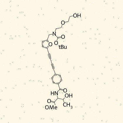 COC(=O)C(NC(=O)c1ccc(C#CC#Cc2ccc(CN(CCOCCO)C(=O)OC(C)(C)C)o2)cc1)C(C)O